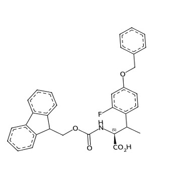 CC(c1ccc(OCc2ccccc2)cc1F)[C@H](NC(=O)OCC1c2ccccc2-c2ccccc21)C(=O)O